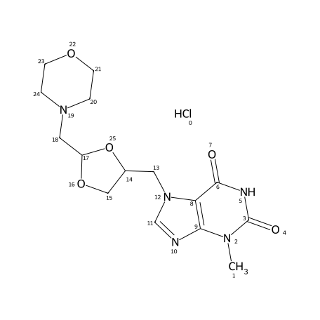 Cl.Cn1c(=O)[nH]c(=O)c2c1ncn2CC1COC(CN2CCOCC2)O1